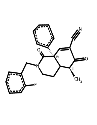 C[C@@H]1C(=O)C(C#N)=C[C@]2(c3ccccc3)C(=O)N(Cc3ccccc3F)CCC12